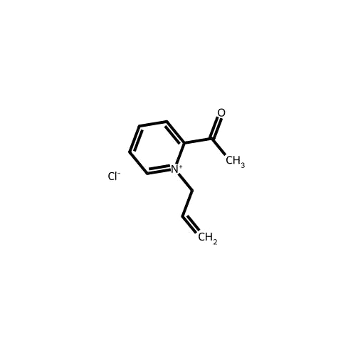 C=CC[n+]1ccccc1C(C)=O.[Cl-]